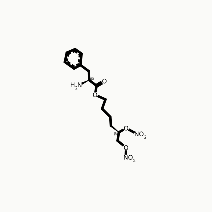 N[C@@H](Cc1ccccc1)C(=O)OCCCC[C@H](CO[N+](=O)[O-])O[N+](=O)[O-]